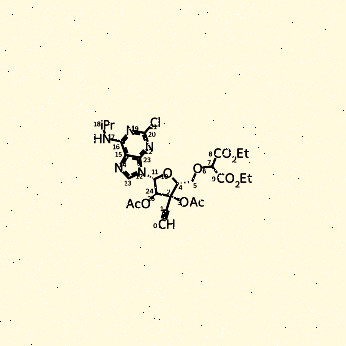 C#C[C@@]1(OC(C)=O)[C@@H](COC(C(=O)OCC)C(=O)OCC)O[C@@H](n2cnc3c(NC(C)C)nc(Cl)nc32)[C@@H]1OC(C)=O